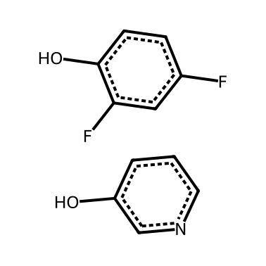 Oc1ccc(F)cc1F.Oc1cccnc1